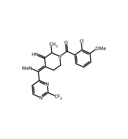 CN/C(=C1/CCN(C(=O)c2cccc(OC)c2Cl)C(C)C1=N)c1ccnc(C(F)(F)F)n1